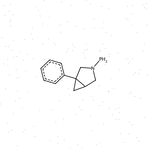 PN1CC2CC2(c2ccccc2)C1